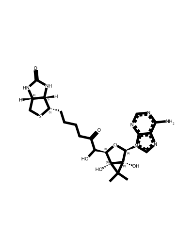 CC1(C)[C@]2(O)[C@H](n3cnc4c(N)ncnc43)O[C@H](C(O)C(=O)CCCC[C@@H]3SC[C@@H]4NC(=O)N[C@@H]43)[C@]12O